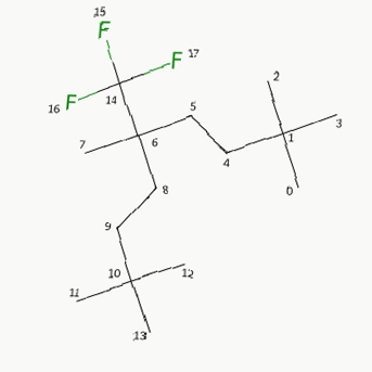 CC(C)(C)CCC(C)(CCC(C)(C)C)C(F)(F)F